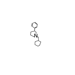 c1ccc(C2CCCN(CC3CCCCC3)C2)cc1